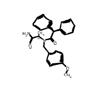 COc1ccc(CN(C(=O)C(c2ccccc2)c2ccccc2)[C@@H](C)C(N)=O)cc1